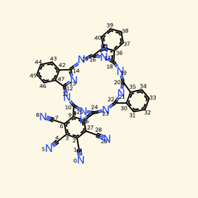 N#Cc1c(C#N)c(C#N)c2c3nc4nc(nc5[nH]c(nc6nc(nc([nH]3)c2c1C#N)-c1ccccc1-6)c1ccccc51)-c1ccccc1-4